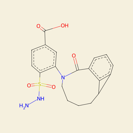 NNS(=O)(=O)c1ccc(C(=O)O)cc1N1CCCCC2c3cccc(c32)C1=O